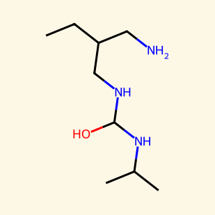 CCC(CN)CNC(O)NC(C)C